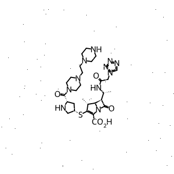 C[C@H]1C(S[C@@H]2CN[C@H](C(=O)N3CCN(CCN4CCNCC4)CC3)C2)=C(C(=O)O)N2C(=O)[C@H]([C@@H](C)NC(=O)Cn3cnnn3)C12